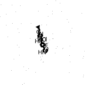 Cl.O=C(Nc1ccc(C2CNCCO2)c(F)c1)c1cnc(OCC2CC2)cn1